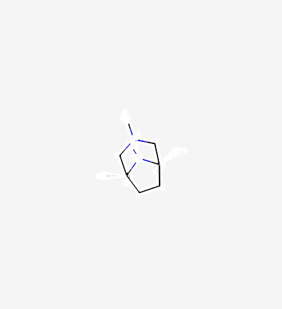 [2H]N1C[C@H]2CC[C@@H](C1)N2C